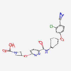 N#Cc1ccc(O[C@H]2CC[C@H](NC(=O)c3ccc(OC4CN(C(=O)O)C4)nn3)CC2)cc1Cl